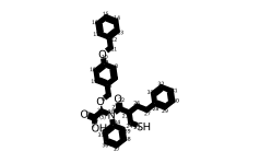 O=C(O)[C@H](OCc1ccc(OCc2ccccc2)cc1)N(C(=O)C(CS)CCc1ccccc1)c1ccccc1